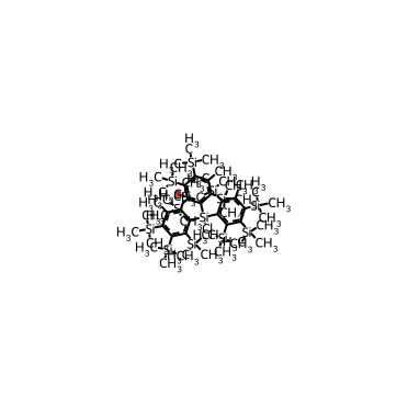 Cc1c([Si](C)(C)C)c([Si](C)(C)C)c([Si](C)(C)C)c([Si](Cl)(c2c([Si](C)(C)C)c(C)c([Si](C)(C)C)c([Si](C)(C)C)c2[Si](C)(C)C)c2c([Si](C)(C)C)c(C)c([Si](C)(C)C)c([Si](C)(C)C)c2[Si](C)(C)C)c1[Si](C)(C)C